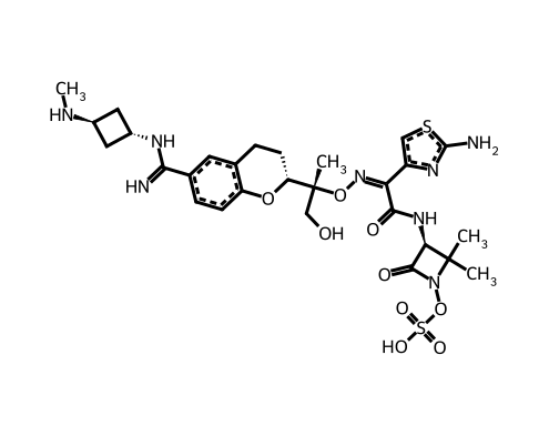 CN[C@H]1C[C@H](NC(=N)c2ccc3c(c2)CC[C@H]([C@@](C)(CO)O/N=C(\C(=O)N[C@@H]2C(=O)N(OS(=O)(=O)O)C2(C)C)c2csc(N)n2)O3)C1